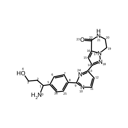 NC(CCO)c1ccc(-c2nccc(-c3cc4n(n3)CCNC4=O)n2)cc1